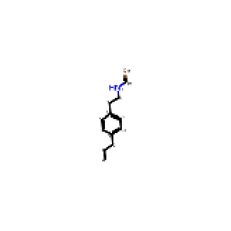 CCCc1ccc(CCNC=S)cc1